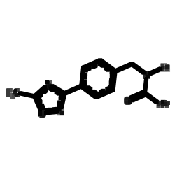 CCCC(=O)N(CC)Cc1ccc(-c2noc(C(F)(F)F)n2)cc1